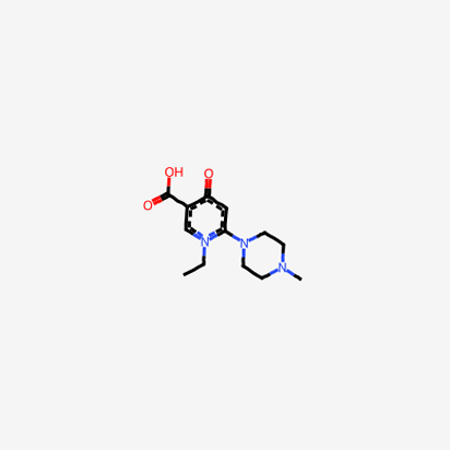 CCn1cc(C(=O)O)c(=O)cc1N1CCN(C)CC1